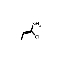 CC=C([SiH3])Cl